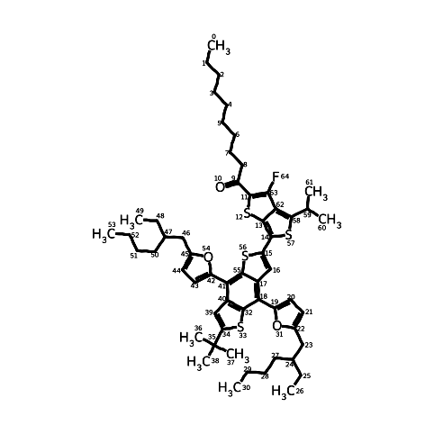 CCCCCCCCCC(=O)c1sc2c(-c3cc4c(-c5ccc(CC(CC)CCCC)o5)c5sc(C(C)(C)C)cc5c(-c5ccc(CC(CC)CCCC)o5)c4s3)sc(C(C)C)c2c1F